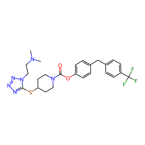 CN(C)CCn1nnnc1SC1CCN(C(=O)Oc2ccc(Cc3ccc(C(F)(F)F)cc3)cc2)CC1